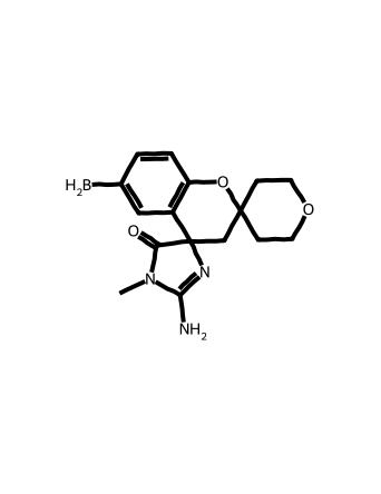 Bc1ccc2c(c1)C1(CC3(CCOCC3)O2)N=C(N)N(C)C1=O